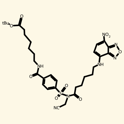 CC(C)(C)OC(=O)CCCCCCNC(=O)c1ccc(S(=O)(=O)N(CC#N)C(=O)CCCCCNc2ccc([N+](=O)[O-])c3nonc23)cc1